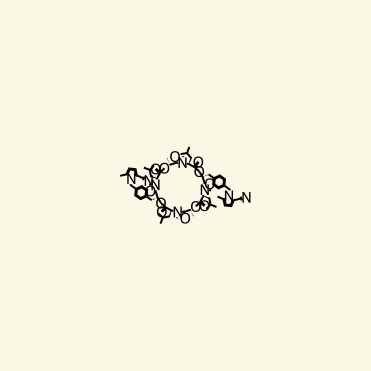 Cc1ccc(C#N)n1Cc1ccc(C[C@H]2OC(=O)[C@H](CC(C)C)N(C)C(=O)[C@@H](C)OC(=O)[C@H](CC(C)C)N(C)C(=O)[C@@H](Cc3ccc(Cn4c(C)ccc4C#N)cc3)OC(=O)[C@H](CC(C)C)N(C)C(=O)[C@@H](C)OC(=O)[C@H](CC(C)C)N(C)C2=O)cc1